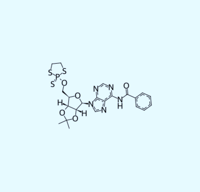 CC1(C)O[C@@H]2[C@H](O1)[C@@H](COP1(=S)SCCS1)O[C@H]2n1cnc2c(NC(=O)c3ccccc3)ncnc21